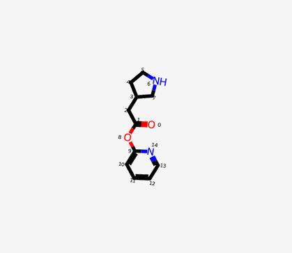 O=C(CC1CCNC1)Oc1ccccn1